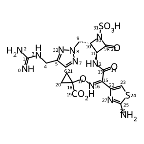 N=C(N)NCc1cnn(C[C@H]2[C@H](NC(=O)C(=NOC3(C(=O)O)CC3)c3csc(N)n3)C(=O)N2S(=O)(=O)O)n1